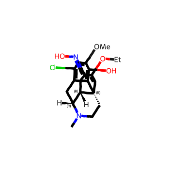 CCOC1=C[C@]23CCN(C)[C@H](Cc4c(Cl)cc(OC)c(O)c42)[C@@H]3CC1=NO